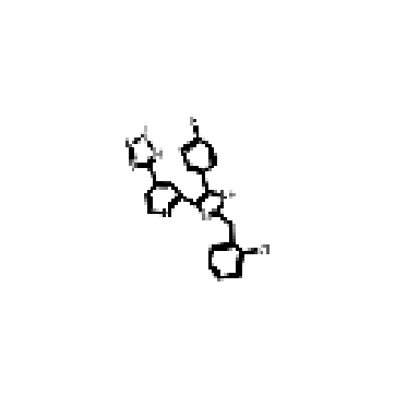 Fc1ccc(-c2[nH]c(Cc3ccccc3Cl)nc2-c2cc(-c3nn[nH]n3)ccn2)cc1